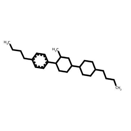 CCCCc1ccc(C2CCC(C3CCC(CCCC)CC3)CC2C)cc1